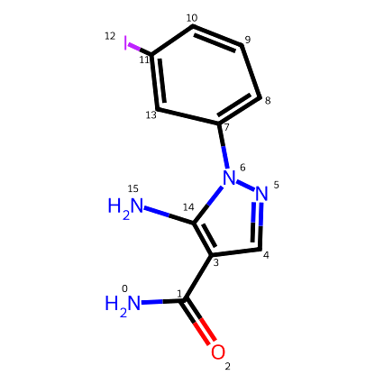 NC(=O)c1cnn(-c2cccc(I)c2)c1N